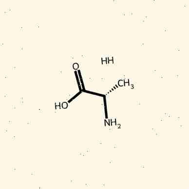 C[C@H](N)C(=O)O.[HH]